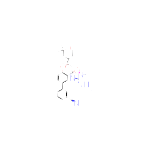 CN1O[C@@]2(C[C@H]([C@@H]3CCOC(C)(C)C3)Oc3ccc(-c4cccc(C#N)c4)cc32)N=C1N